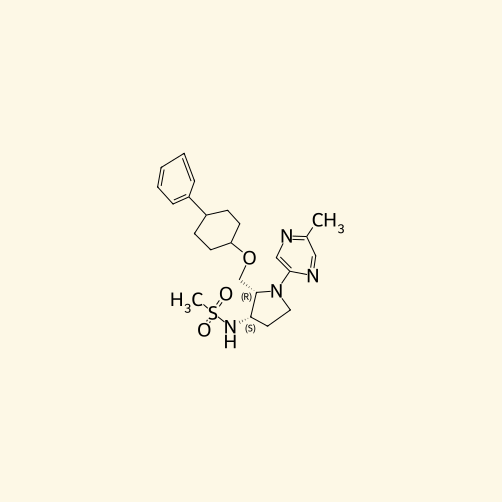 Cc1cnc(N2CC[C@H](NS(C)(=O)=O)[C@@H]2COC2CCC(c3ccccc3)CC2)cn1